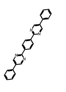 c1ccc(-c2cnc(-c3ccc(-c4ncc(-c5ccccc5)cn4)cc3)nc2)cc1